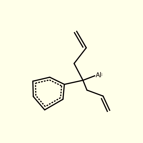 C=CC[C]([Al])(CC=C)c1ccccc1